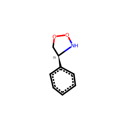 c1ccc([C@H]2COON2)cc1